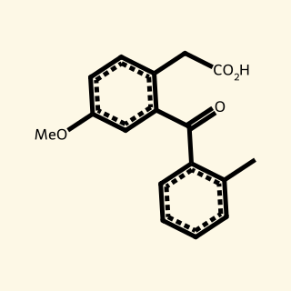 COc1ccc(CC(=O)O)c(C(=O)c2ccccc2C)c1